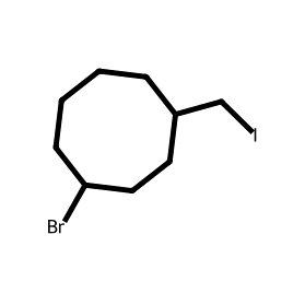 BrC1CCCCC(CI)CC1